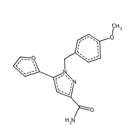 COc1ccc(Cn2nc(C(N)=O)cc2-c2ccco2)cc1